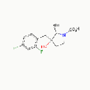 CC(C)(C)C1N(C(=O)O)CCC1(O)Cc1ccc(F)cc1F